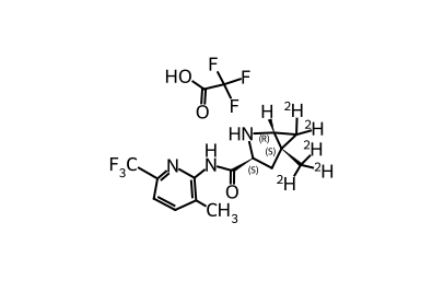 O=C(O)C(F)(F)F.[2H]C([2H])([2H])[C@@]12C[C@@H](C(=O)Nc3nc(C(F)(F)F)ccc3C)N[C@@H]1C2([2H])[2H]